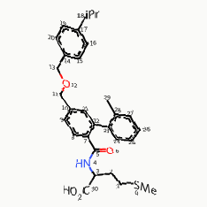 CSCCC(NC(=O)c1ccc(COCc2ccc(C(C)C)cc2)cc1-c1ccccc1C)C(=O)O